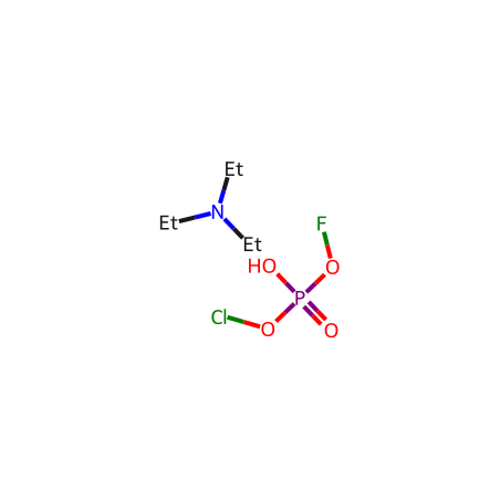 CCN(CC)CC.O=P(O)(OF)OCl